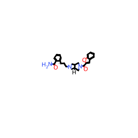 NC(=O)c1ccccc1[CH]CCN1CC2CN(C(=O)c3cc4ccccc4o3)C[C@@H]2C1